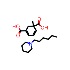 CC1(C(=O)O)C=CC=C(C(=O)O)C1.CCCCCCN1CCCCC1